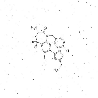 CCn1cnc(-c2cc3c(cc2F)S(=O)(=O)C[C@H](N)C(=O)N3Cc2ccc(Cl)cc2)n1